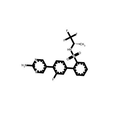 C[C@H](NS(=O)(=O)c1ccccc1-c1ccc(-c2cnc(N)nc2)c(F)c1)C(F)(F)F